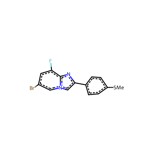 CSc1ccc(-c2cn3cc(Br)cc(F)c3n2)cc1